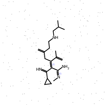 C=C(CCNCC(C)C)C/C(C(=C)C)=C(C(=N)C1CC1)/C(N)=N\C